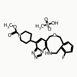 COC(=O)N1CCC(c2cc3c(n4cnnc24)NCc2c(F)cccc2COC3)CC1.CS(=O)(=O)O